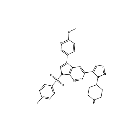 COc1ccc(-c2cn(S(=O)(=O)c3ccc(C)cc3)c3ncc(-c4ccnn4C4CCNCC4)cc23)cn1